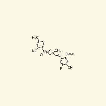 COc1cc(C#N)c(F)cc1OCC1(C)CN([S+]([O-])c2ccc(C)cc2C#N)C1